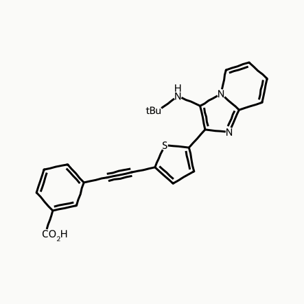 CC(C)(C)Nc1c(-c2ccc(C#Cc3cccc(C(=O)O)c3)s2)nc2ccccn12